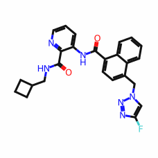 O=C(NCC1CCC1)c1ncccc1NC(=O)c1ccc(Cn2cc(F)nn2)c2ccccc12